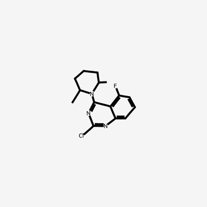 CC1CCCC(C)N1c1nc(Cl)nc2cccc(F)c12